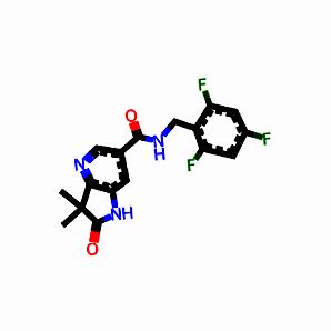 CC1(C)C(=O)Nc2cc(C(=O)NCc3c(F)cc(F)cc3F)cnc21